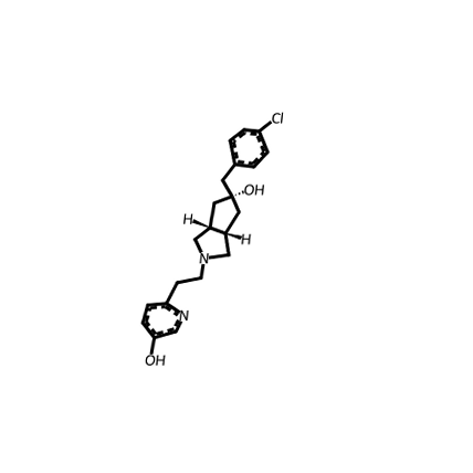 Oc1ccc(CCN2C[C@@H]3C[C@@](O)(Cc4ccc(Cl)cc4)C[C@@H]3C2)nc1